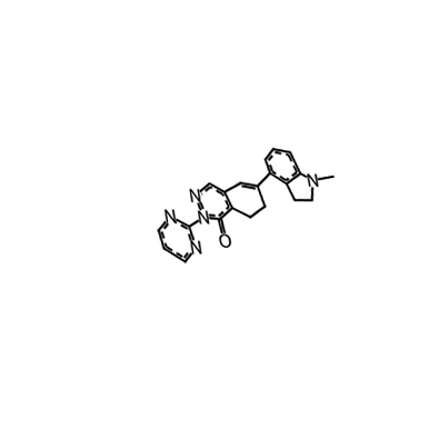 CN1CCc2c(C3=Cc4cnn(-c5ncccn5)c(=O)c4CC3)cccc21